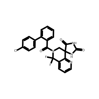 O=C1NC(=O)C2(CN(C(=O)c3ccccc3-c3ccc(Cl)cc3)C(F)(F)c3cccnc32)N1